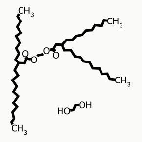 CCCCCCCCCCCCC(CCCCCCCCCC)CC(=O)OCCOC(=O)CC(CCCCCCCCCC)CCCCCCCCCCCC.OCCO